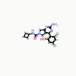 Nc1nc2c(c(-c3c(O)cc(Cl)cc3Cl)n1)CN(C(=O)NC1CCC1)C2